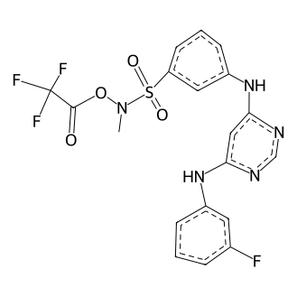 CN(OC(=O)C(F)(F)F)S(=O)(=O)c1cccc(Nc2cc(Nc3cccc(F)c3)ncn2)c1